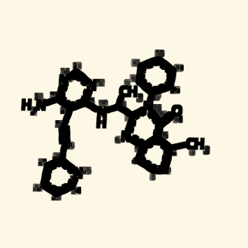 Cc1cccc2nc(C(C)Nc3ncnc(N)c3C#Cc3ccccn3)n(-c3ccccc3)c(=O)c12